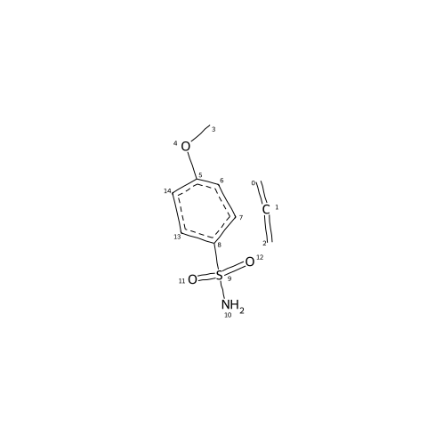 C=C=C.COc1ccc(S(N)(=O)=O)cc1